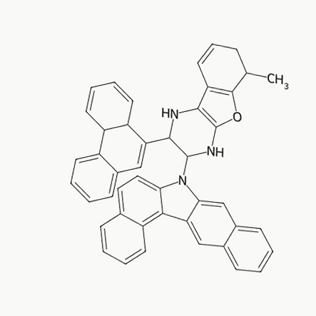 CC1CC=Cc2c1oc1c2NC(C2=Cc3ccccc3C3C=CC=CC23)C(n2c3cc4ccccc4cc3c3c4ccccc4ccc32)N1